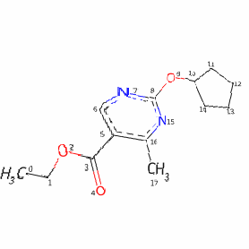 CCOC(=O)c1cnc(OC2CCCC2)nc1C